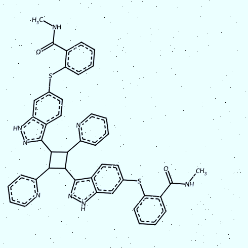 CNC(=O)c1ccccc1Sc1ccc2c(C3C(c4ccccn4)C(c4n[nH]c5cc(Sc6ccccc6C(=O)NC)ccc45)C3c3ccccn3)n[nH]c2c1